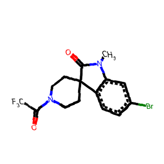 CN1C(=O)C2(CCN(C(=O)C(F)(F)F)CC2)c2ccc(Br)cc21